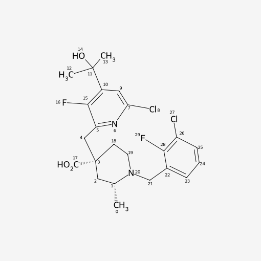 C[C@@H]1C[C@](Cc2nc(Cl)cc(C(C)(C)O)c2F)(C(=O)O)CCN1Cc1cccc(Cl)c1F